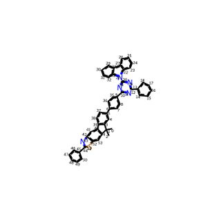 CC1(C)c2cc(-c3ccc(-c4nc(-c5ccccc5)nc(-n5c6ccccc6c6ccccc65)n4)cc3)ccc2-c2cc3nc(-c4ccccc4)sc3cc21